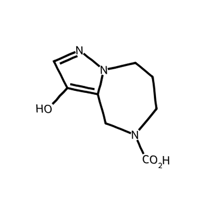 O=C(O)N1CCCn2ncc(O)c2C1